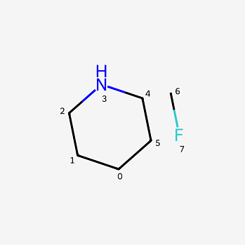 C1CCNCC1.CF